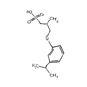 CC(COc1cccc(C(C)C)c1)CS(=O)(=O)O